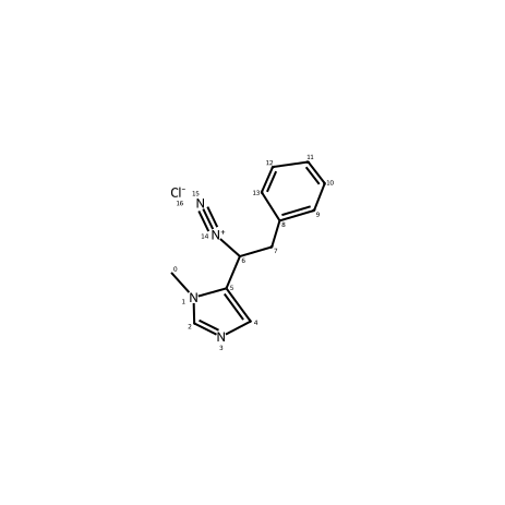 Cn1cncc1C(Cc1ccccc1)[N+]#N.[Cl-]